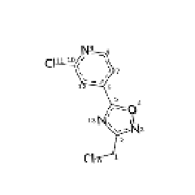 ClCc1noc(-c2ccnc(Cl)c2)n1